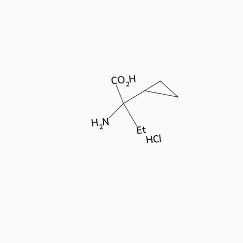 CCC(N)(C(=O)O)C1CC1.Cl